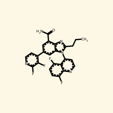 CCCc1nc2c(C(N)=O)cc(-c3ccnc(F)c3F)cc2n1-c1ccnc2c(F)ccc(F)c12